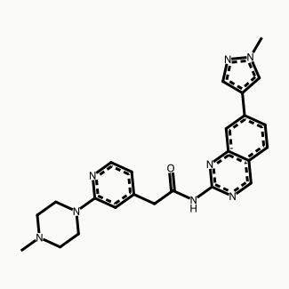 CN1CCN(c2cc(CC(=O)Nc3ncc4ccc(-c5cnn(C)c5)cc4n3)ccn2)CC1